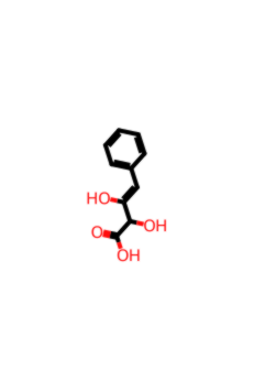 O=C(O)C(O)C(O)=Cc1ccccc1